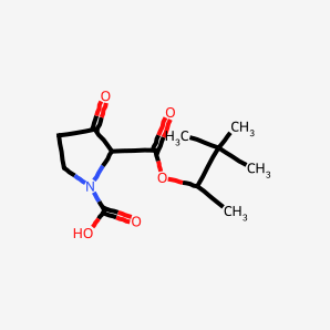 CC(OC(=O)C1C(=O)CCN1C(=O)O)C(C)(C)C